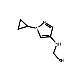 SCNc1cnn(C2CC2)c1